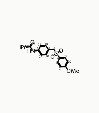 COc1ccc(S(=O)(=O)Cc2ccc(NC(=O)C(C)C)cc2)cc1